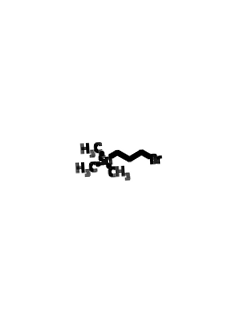 [CH3][Sn]([CH3])([CH3])[CH2]CCBr